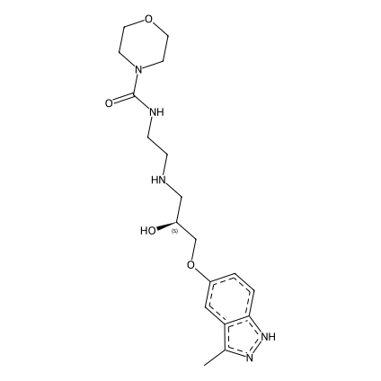 Cc1n[nH]c2ccc(OC[C@@H](O)CNCCNC(=O)N3CCOCC3)cc12